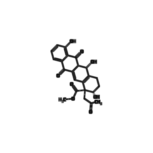 COC(=O)C1(CC(C)=O)C2=C(CC[C@@H]1O)C(O)C1C(=O)c3c(O)cccc3C(=O)C1=C2